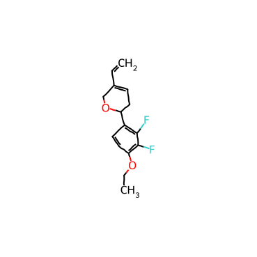 C=CC1=CCC(c2ccc(OCC)c(F)c2F)OC1